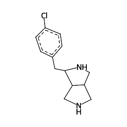 Clc1ccc(CC2NCC3CNCC32)cc1